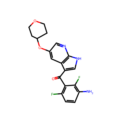 Nc1ccc(F)c(C(=O)c2c[nH]c3ncc(OC4CCOCC4)cc23)c1F